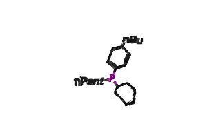 CCCCCP(c1ccc(CCCC)cc1)C1CCCCC1